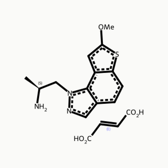 COc1cc2c(ccc3cnn(C[C@H](C)N)c32)s1.O=C(O)/C=C/C(=O)O